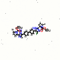 CC1CCC(c2nc(F)c(-c3ccc(-c4ccc(-c5cnc([C@@H]6CC[C@H](C)N6C(=O)OC(C)(C)C)[nH]5)cc4)cc3)[nH]2)N1C(=O)OC(C)(C)C